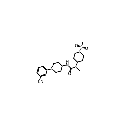 CN(C(=O)NC1CCN(c2cccc(C#N)c2)CC1)C1CCN(S(C)(=O)=O)CC1